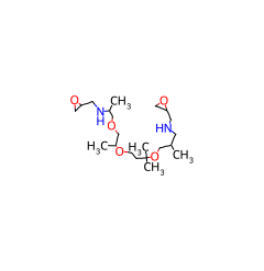 CC(CNCC1CO1)COC(C)(C)CCOC(C)COCC(C)NCC1CO1